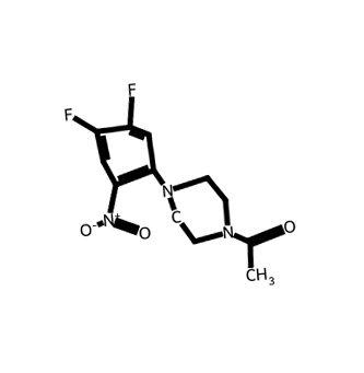 CC(=O)N1CCN(c2cc(F)c(F)cc2[N+](=O)[O-])CC1